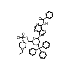 CCN1CCN(P(=O)(Cl)OCC2CN(C(c3ccccc3)(c3ccccc3)c3ccccc3)CC(n3cnc4c(NC(=O)c5ccccc5)ncnc43)O2)CC1